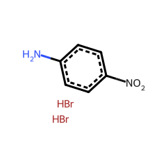 Br.Br.Nc1ccc([N+](=O)[O-])cc1